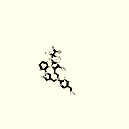 CCc1cnc(N(CCc2sc(SC(C)(C)C(=O)O)nc2C)Cc2cnn(-c3ccccc3)c2)nc1